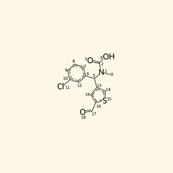 CN(C(=O)O)C(c1cccc(Cl)c1)c1csc(C=O)c1